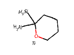 [AlH2][C]1([SiH3])CCCCO1.[Ti]